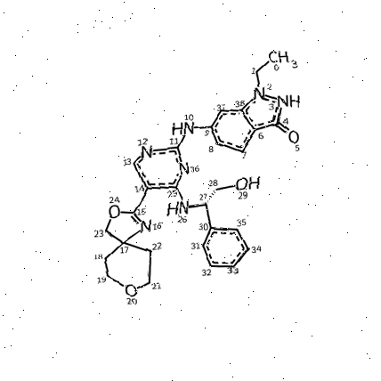 CCn1[nH]c(=O)c2ccc(Nc3ncc(C4=NC5(CCOCC5)CO4)c(N[C@H](CO)c4ccccc4)n3)cc21